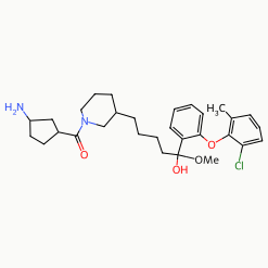 COC(O)(CCCCC1CCCN(C(=O)C2CCC(N)C2)C1)c1ccccc1Oc1c(C)cccc1Cl